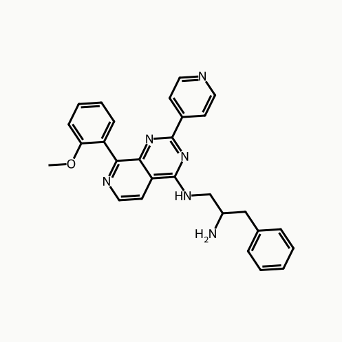 COc1ccccc1-c1nccc2c(NCC(N)Cc3ccccc3)nc(-c3ccncc3)nc12